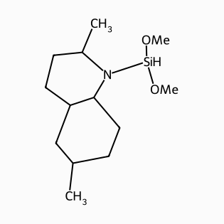 CO[SiH](OC)N1C(C)CCC2CC(C)CCC21